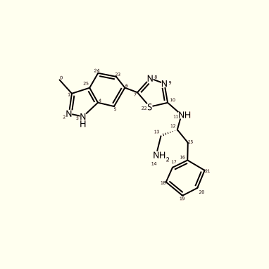 Cc1n[nH]c2cc(-c3nnc(N[C@@H](CN)Cc4ccccc4)s3)ccc12